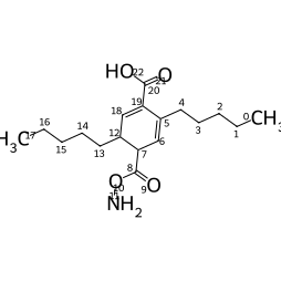 CCCCCC1=CC(C(=O)ON)C(CCCCC)C=C1C(=O)O